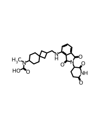 CN(C(=O)O)C1CCC2(CC1)CC(CNc1cccc3c1C(=O)N(C1CCC(=O)NC1=O)C3=O)C2